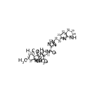 Cc1cc(C)c(S(=O)(=O)N[C@@H](CNC(=O)c2ncn(CCc3ccc4c(n3)NCCC4)n2)C(=O)O)c(C)c1